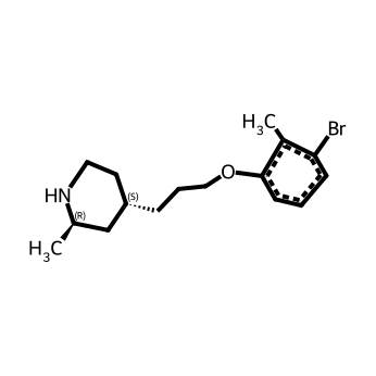 Cc1c(Br)cccc1OCCC[C@H]1CCN[C@H](C)C1